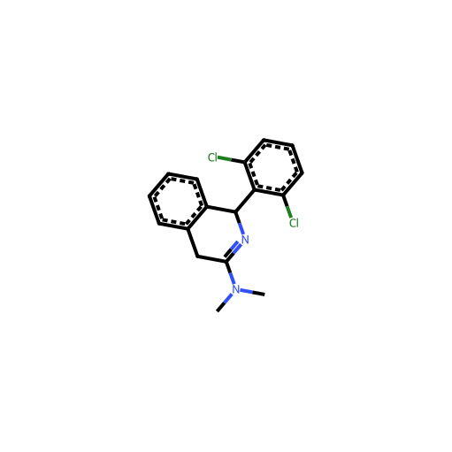 CN(C)C1=NC(c2c(Cl)cccc2Cl)c2ccccc2C1